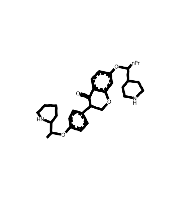 CCCC(Oc1ccc2c(c1)OCC(c1ccc(OC(C)C3CCCCN3)cc1)C2=O)C1CCNCC1